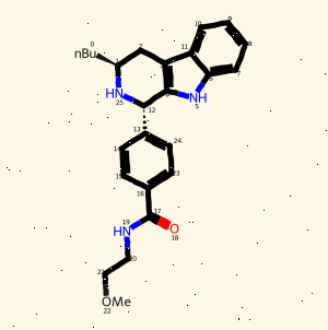 CCCC[C@H]1Cc2c([nH]c3ccccc23)[C@H](c2ccc(C(=O)NCCOC)cc2)N1